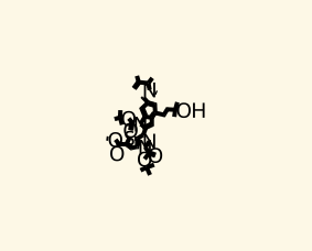 C=C(C)C(C)N(C)Cc1cc(CCC(C)(C)O)c2cc(-c3nn(C(=O)OC(C)(C)C)c4cc(C(=O)OC)sc34)n(C(=O)OC(C)(C)C)c2c1